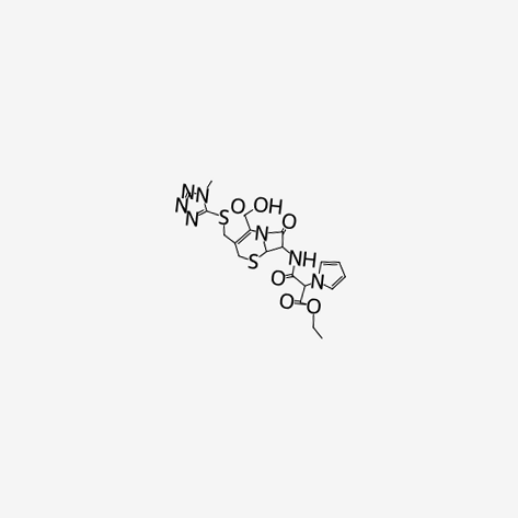 CCOC(=O)C(C(=O)NC1C(=O)N2C(C(=O)O)=C(CSc3nnnn3C)CSC12)n1cccc1